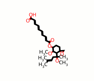 COC1C(OC(=O)/C=C/C=C/C=C/C=C/C(=O)O)CCC2(CO2)C1C(C)(CC=C(C)C)OC